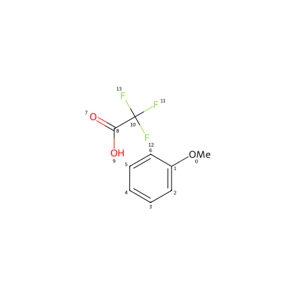 COc1ccccc1.O=C(O)C(F)(F)F